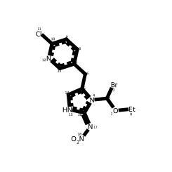 CCOC(Br)n1c(Cc2ccc(Cl)nc2)c[nH]c1=N[N+](=O)[O-]